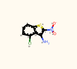 Nc1c([N+](=O)[O-])sc2cccc(Cl)c12